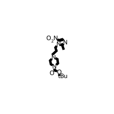 Cc1ncc([N+](=O)[O-])n1CCCN1CCN(C(=O)OC(C)(C)C)CC1